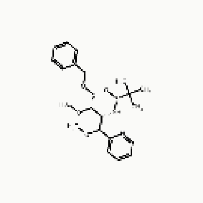 COC(c1ccccn1)[C@@H](N[S+]([O-])C(C)(C)C)[C@@H](COCc1ccccc1)OC